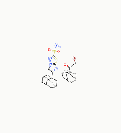 NS(=O)(=O)c1nn2cc(C34CC5CC(CC(C5)C3)C4)nc2s1.O=C(CBr)C12CC3CC(CC(C3)C1)C2